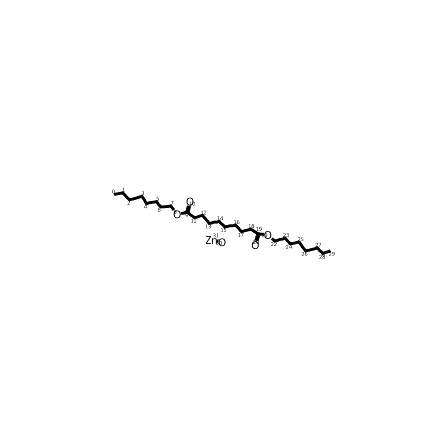 CCCCCCCCOC(=O)CCCCCCCCC(=O)OCCCCCCCC.[O]=[Zn]